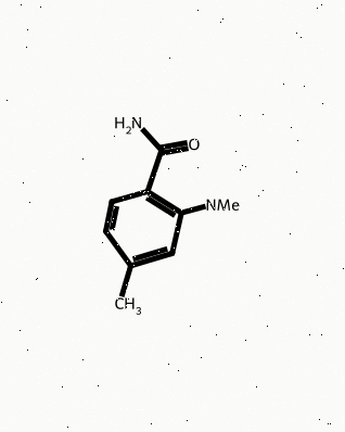 CNc1cc(C)ccc1C(N)=O